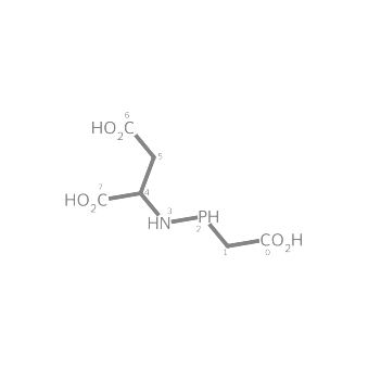 O=C(O)CPNC(CC(=O)O)C(=O)O